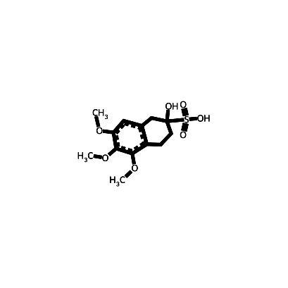 COc1cc2c(c(OC)c1OC)CCC(O)(S(=O)(=O)O)C2